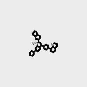 CN1c2cc(-c3ccccc3)ccc2C(c2ccc(-c3cccc4cccnc34)cc2)=CC1c1ccc2ccccc2c1